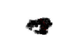 COCOc1cc(-c2ncc3c(N4CC5CCC(C4)N5C(=O)OC(C)(C)C)nc(OCC4(CN5CCN(CC6CCC7(CC6)CCN(C(=O)c6ccc(Br)c(N8CCC(=O)NC8=O)c6)CC7)CC5)CC4)nc3c2F)c2c(C#C[Si](C(C)C)(C(C)C)C(C)C)c(F)ccc2c1